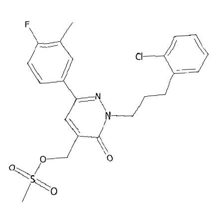 Cc1cc(-c2cc(COS(C)(=O)=O)c(=O)n(CCCc3ccccc3Cl)n2)ccc1F